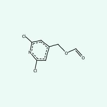 O=COCc1cc(Cl)nc(Cl)c1